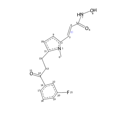 Cn1c(/C=C/C(=O)NO)ccc1CCC(=O)c1cccc(F)c1